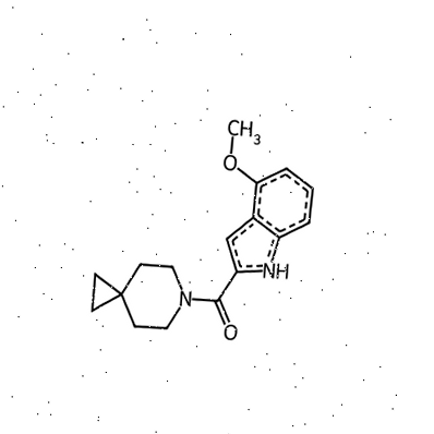 COc1cccc2[nH]c(C(=O)N3CCC4(CC3)CC4)cc12